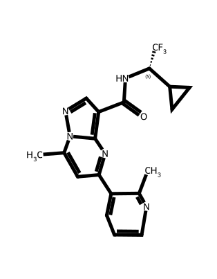 Cc1ncccc1-c1cc(C)n2ncc(C(=O)N[C@@H](C3CC3)C(F)(F)F)c2n1